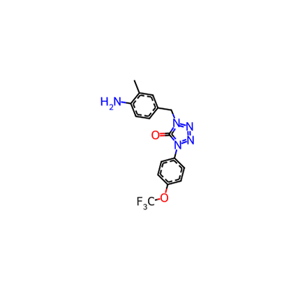 Cc1cc(Cn2nnn(-c3ccc(OC(F)(F)F)cc3)c2=O)ccc1N